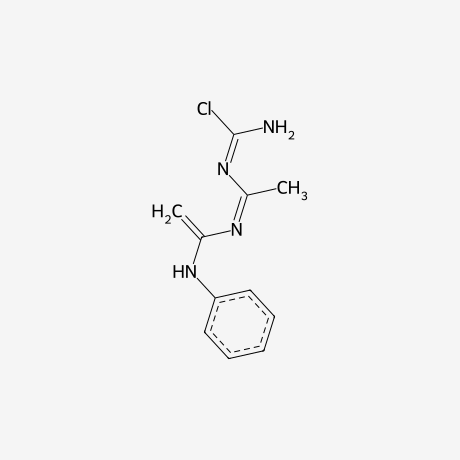 C=C(/N=C(C)\N=C(/N)Cl)Nc1ccccc1